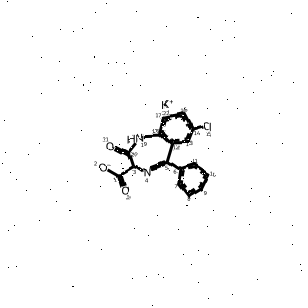 O=C([O-])C1N=C(c2ccccc2)c2cc(Cl)ccc2NC1=O.[K+]